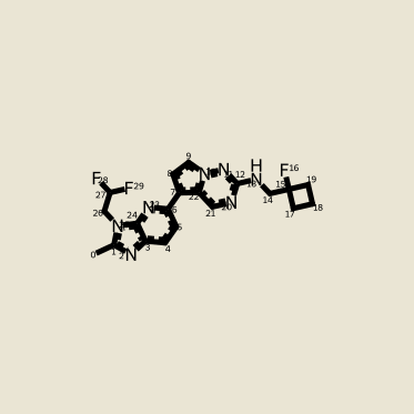 Cc1nc2ccc(-c3ccn4nc(NCC5(F)CCC5)ncc34)nc2n1CC(F)F